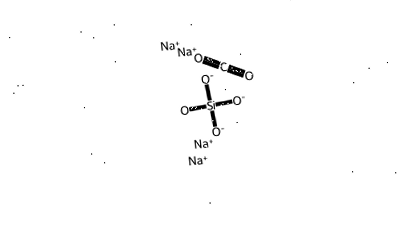 O=C=O.[Na+].[Na+].[Na+].[Na+].[O-][Si]([O-])([O-])[O-]